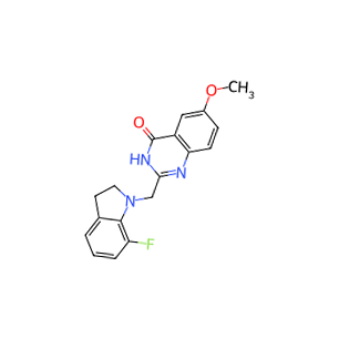 COc1ccc2nc(CN3CCc4cccc(F)c43)[nH]c(=O)c2c1